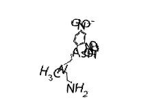 CN(CCCN)CCC[AsH]c1ccc([N+](=O)[O-])cc1[N+](=O)[O-]